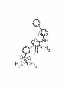 C[C@H](NC(=O)c1cccc(S(=O)(=O)N(C)C)c1)C(=O)Nc1nc(-c2ccccc2)cs1